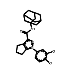 O=C(NC12CC3CC(CC(C3)C1)C2)c1nn(-c2ccc(Cl)c(Cl)c2)c2c1CCC2